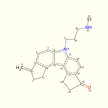 C=C1CCc2c1ccc1c2c2c3c(ccc2n1CCCNCC)C(=O)CC3